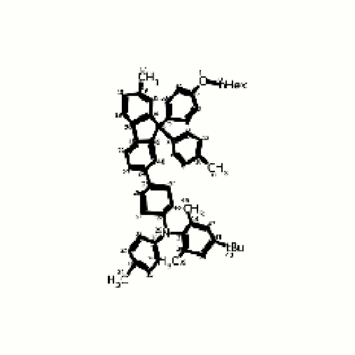 CCCCCCOc1ccc(C2(c3ccc(C)cc3)c3cc(C)ccc3-c3ccc(-c4ccc(N(c5ccc(C)cc5)c5c(C)cc(C(C)(C)C)cc5C)cc4)cc32)cc1